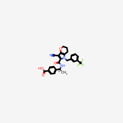 C[C@H](NC(=O)c1c(C#N)c2c(n1Cc1cccc(C(F)(F)F)c1)CCCO2)c1ccc(C(=O)O)cc1